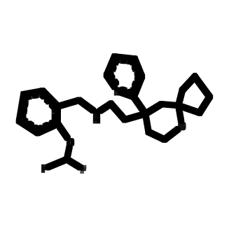 FC(F)Oc1ccccc1CNCCC1(c2ccccn2)CCOC2(CCCC2)C1